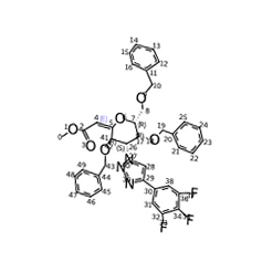 COC(=O)/C=C1/O[C@H](COCc2ccccc2)[C@H](OCc2ccccc2)[C@H](n2cc(-c3cc(F)c(F)c(F)c3)nn2)[C@H]1OCc1ccccc1